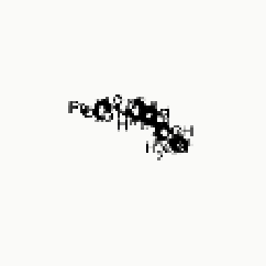 CC(C)O[C@H]1CC[C@H](C(=O)Nc2cc3cc(C4CCN(C5(C)COCC5O)CC4)c(Cl)cc3cn2)OC1